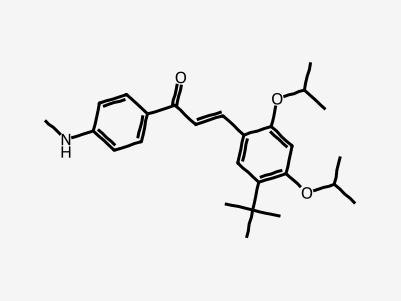 CNc1ccc(C(=O)/C=C/c2cc(C(C)(C)C)c(OC(C)C)cc2OC(C)C)cc1